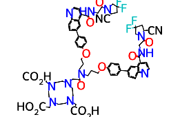 N#C[C@@H]1CC(F)(F)CN1C(=O)CNC(=O)c1ccnc2ccc(-c3ccc(OCCCN(CCCOc4ccc(-c5ccc6nccc(C(=O)NCC(=O)N7CC(F)(F)C[C@H]7C#N)c6c5)cc4)C(=O)CN4CCN(CC(=O)O)CCN(CC(=O)O)CCN(CC(=O)O)CC4)cc3)cc12